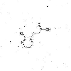 O=C(O)CSC1=CCCN=C1Cl